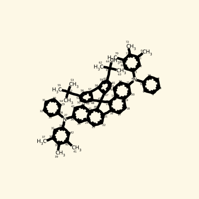 Cc1cc(N(c2ccccc2)c2ccc3c4c(ccc3c2)-c2ccc3cc(N(c5ccccc5)c5cc(C)c(C)c(C)c5)ccc3c2C42c3ccc(C(C)(C)C)cc3-c3cc(C(C)(C)C)ccc32)cc(C)c1C